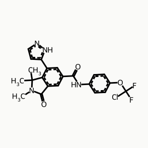 CN1C(=O)c2cc(C(=O)Nc3ccc(OC(F)(F)Cl)cc3)cc(-c3ccn[nH]3)c2C1(C)C